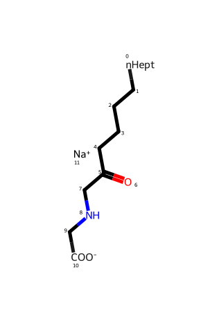 CCCCCCCCCCCC(=O)CNCC(=O)[O-].[Na+]